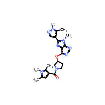 CCn1ncc(-c2nc3c(O[C@H]4CCN(C(=O)c5cc(C)n(C)c5C)C4)ncnc3n2C)c1C